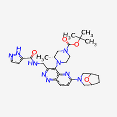 C[C@@H]1CN(C(=O)OC(C)(C)C)CCN1c1c(CNC(=O)c2ccn[nH]2)nnc2ccc(N3CC4CCC(C3)O4)nc12